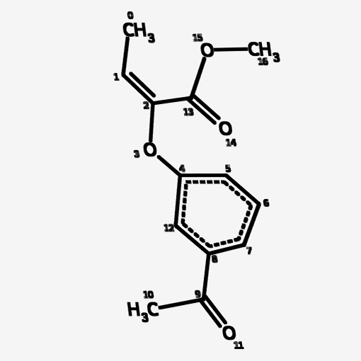 CC=C(Oc1cccc(C(C)=O)c1)C(=O)OC